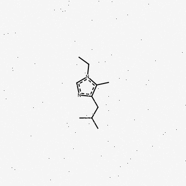 CCn1cnc(CC(C)C)c1C